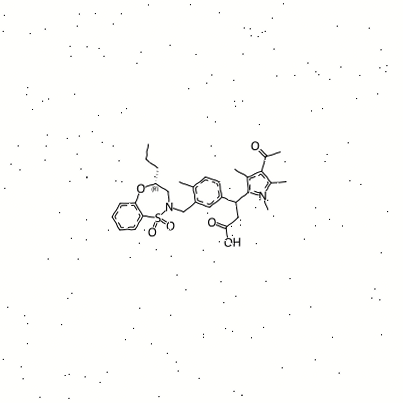 CCC[C@@H]1CN(Cc2cc(C(CC(=O)O)c3c(C)c(C(C)=O)c(C)n3C)ccc2C)S(=O)(=O)c2ccccc2O1